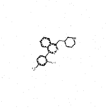 Oc1cc(C(F)(F)F)ccc1-c1nnc(CC2CCCNC2)c2ccccc12